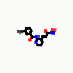 O=C(/C=C/c1cccnc1NC(=O)c1cccc(C(F)(F)F)c1)NO